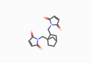 O=C1C=CC(=O)N1CC1CC2CCC1(CN1C(=O)C=CC1=O)C2